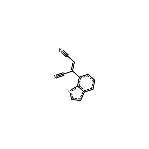 N#C/C=C(\C#N)c1cccc2cc[te]c12